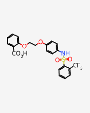 O=C(O)c1ccccc1OCCOc1ccc(NS(=O)(=O)c2ccccc2C(F)(F)F)cc1